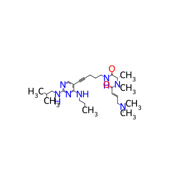 CCCNc1nc(NCC(C)C)ncc1C#CCCCNC(=O)[C@H](C)N(C)C(=O)/C=C/CN(C)C